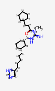 CN(C(=N)NC[C@H]1CCC[C@@H](CCCCCc2cnc[nH]2)C1)C(=O)CCC1CCCCC1